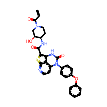 C=CC(=O)N1CC[C@@H](NC(=O)c2sc3nccc4c3c2NC(=O)N4c2ccc(Oc3ccccc3)cc2)[C@@H](O)C1